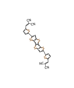 N#CC(C#N)=Cc1ccc(-c2cc3sc4c5sc(-c6ccc(C=C(C#N)C#N)s6)cc5sc4c3s2)s1